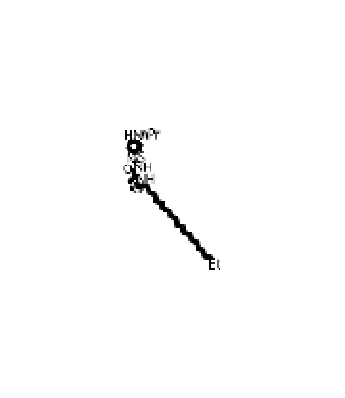 CCC=CCC=CCC=CCC=CCC=CCC=CCCC(=O)NC(CC(C)C)C(=O)Nc1nc2c(s1)CC(NCCC)CC2